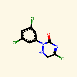 O=C1N=C(Cl)CNN1c1cc(Cl)cc(Cl)c1